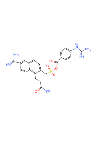 N=C(N)Nc1ccc(C(=O)OS(=O)(=O)Cc2ccc3cc(C(=N)N)ccc3c2CCC(N)=O)cc1